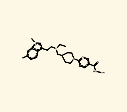 CCN(CCc1cn(C)c2cc(C)ccc12)CC1CCN(c2ncc(C(=O)NO)cn2)CC1